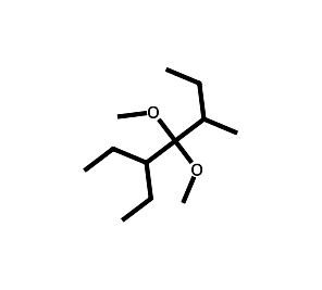 CCC(C)C(OC)(OC)C(CC)CC